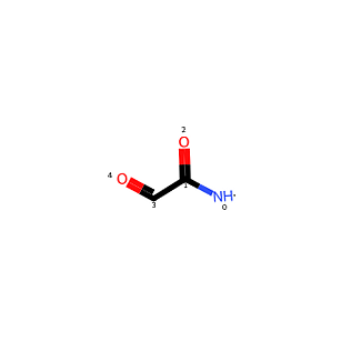 [NH]C(=O)C=O